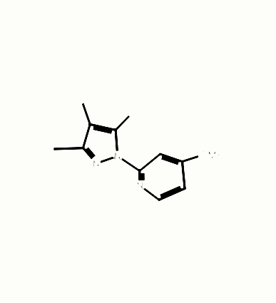 COc1ccnc(-n2nc(C)c(C)c2C)c1